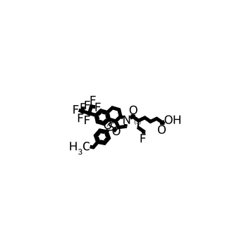 CCc1ccc(S(=O)(=O)C23CCN(C(=O)[C@H](CCF)CCCC(=O)O)C2CCc2cc(C(F)(C(F)(F)F)C(F)(F)F)ccc23)cc1